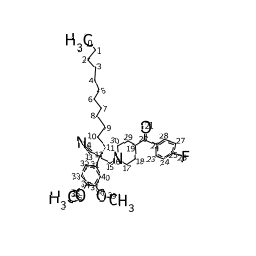 CCCCCCCCCCCCC(C#N)(CN1CCC(C(=O)c2ccc(F)cc2)CC1)c1ccc(OC)c(OC)c1